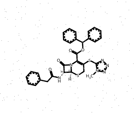 Cn1nnnc1SC1=C(C(=O)OC(c2ccccc2)c2ccccc2)N2C(=O)[C@@H](NC(=O)Cc3ccccc3)[C@@H]2SC1